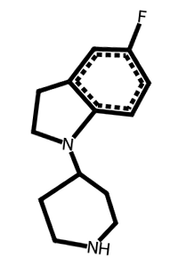 Fc1ccc2c(c1)CCN2C1CCNCC1